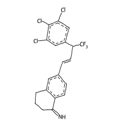 N=C1CCCc2cc(/C=C/C(c3cc(Cl)c(Cl)c(Cl)c3)C(F)(F)F)ccc21